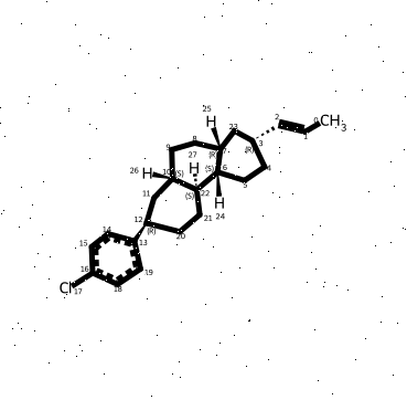 CC=C[C@@H]1CC[C@H]2[C@H](CC[C@H]3C[C@H](c4ccc(Cl)cc4)CC[C@@H]32)C1